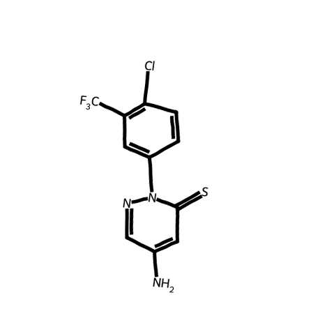 Nc1cnn(-c2ccc(Cl)c(C(F)(F)F)c2)c(=S)c1